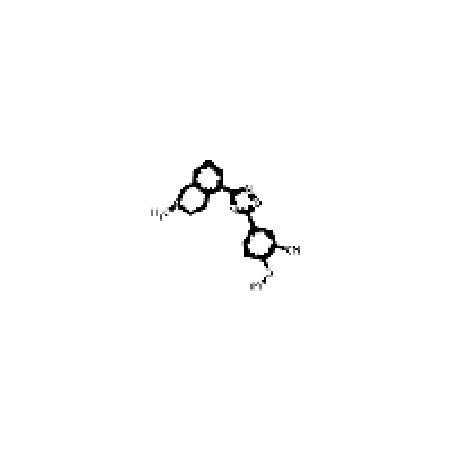 CC(C)Oc1ccc(-c2nc(-c3cccc4c3CCN(C)C4)no2)cc1C#N